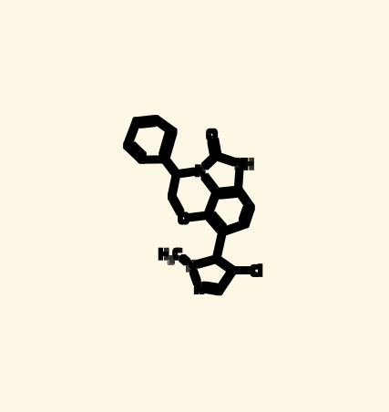 CN1N=CC(Cl)C1c1ccc2[nH]c(=O)n3c2c1OCC3c1ccccc1